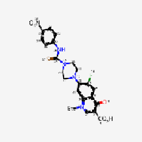 CCn1cc(C(=O)O)c(=O)c2cc(F)c(N3CCN(C(=S)Nc4ccc([N+](=O)[O-])cc4)CC3)cc21